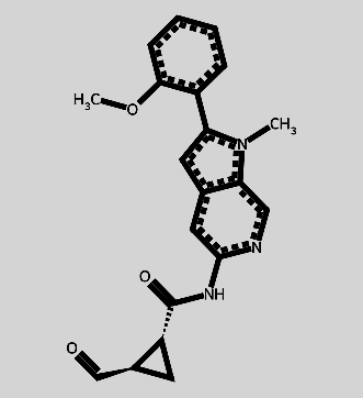 COc1ccccc1-c1cc2cc(NC(=O)[C@@H]3C[C@H]3C=O)ncc2n1C